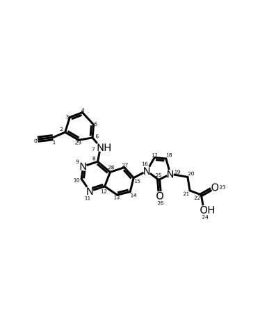 C#Cc1cccc(Nc2ncnc3ccc(-n4ccn(CCC(=O)O)c4=O)cc23)c1